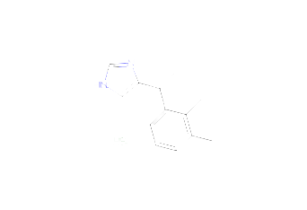 Br.Cc1cccc(C(C)c2c[nH]cn2)c1C